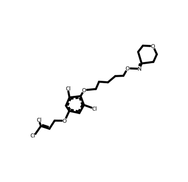 ClC(Cl)=CCOc1cc(Cl)c(OCCCCCON=C2CCOCC2)c(Cl)c1